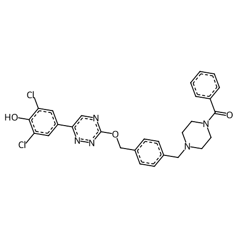 O=C(c1ccccc1)N1CCN(Cc2ccc(COc3ncc(-c4cc(Cl)c(O)c(Cl)c4)nn3)cc2)CC1